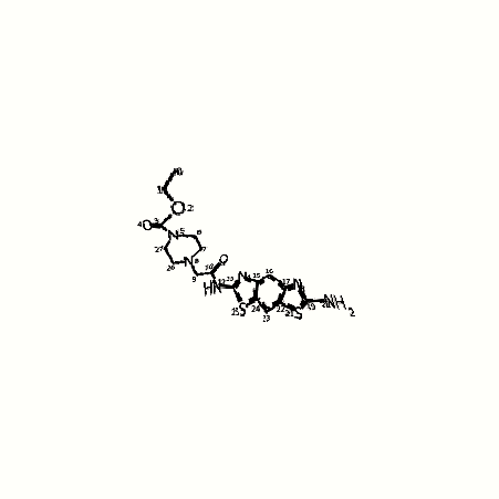 CCOC(=O)N1CCN(CC(=O)Nc2nc3cc4nc(N)sc4cc3s2)CC1